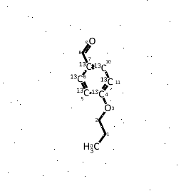 CCCO[13c]1[13cH][13cH][13c](C=O)[13cH][13cH]1